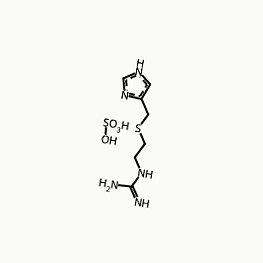 N=C(N)NCCSCc1c[nH]cn1.O=S(=O)(O)O